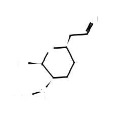 C=CC[C@H]1CC[C@@H](NC(=O)O)[C@@H](C)O1